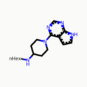 CCCCCCNC1CCN(c2ncnc3[nH]ccc23)CC1